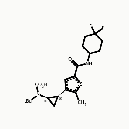 Cc1sc(C(=O)NC2CCC(F)(F)CC2)cc1[C@@H]1C[C@H]1N(C(=O)O)C(C)(C)C